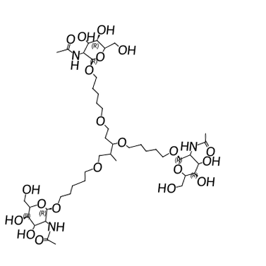 CC(=O)NC1C(O)[C@@H](O)C(CO)O[C@H]1OCCCCCOCCC(OCCCCCO[C@@H]1OC(CO)[C@H](O)C(O)C1NC(C)=O)C(C)COCCCCCO[C@@H]1OC(CO)[C@H](O)C(O)C1NC(C)=O